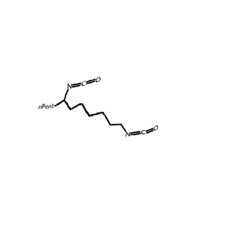 CCCCCC(CCCCCCN=C=O)N=C=O